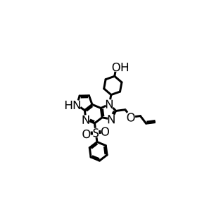 C=CCOCc1nc2c(S(=O)(=O)c3ccccc3)nc3[nH]ccc3c2n1C1CCC(O)CC1